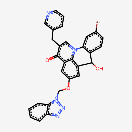 O=c1c(Cc2cccnc2)cn2c3c(cc(OCn4nnc5ccccc54)cc13)C(O)c1ccc(Br)cc1-2